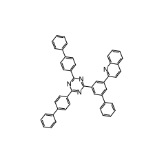 c1ccc(-c2ccc(-c3nc(-c4ccc(-c5ccccc5)cc4)nc(-c4cc(-c5ccccc5)cc(-c5ccc6ccccc6n5)c4)n3)cc2)cc1